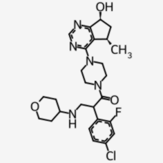 C[C@@H]1C[C@H](O)c2ncnc(N3CCN(C(=O)C(CNC4CCOCC4)c4ccc(Cl)cc4F)CC3)c21